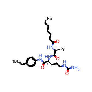 CC(C)[C@H](NC(=O)CCCCCC(C)(C)C)C(=O)N[C@@H](CCCNC(N)=O)C(=O)Nc1ccc(CC(C)(C)C)cc1